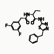 CCC(NC(=O)Cc1cc(F)cc(F)c1)C(=O)Nc1nnc(Cc2ccccc2)s1